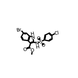 COC(=O)c1c(NS(=O)(=O)c2ccc(Cl)cc2)[nH]c2cc(Br)ccc12